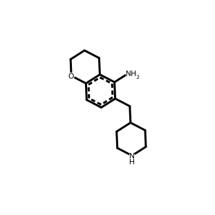 Nc1c(CC2CCNCC2)ccc2c1CCCO2